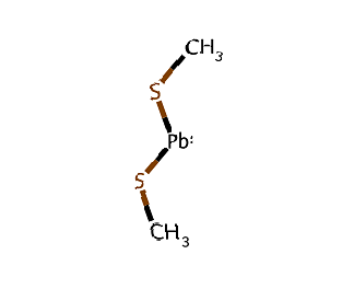 C[S][Pb][S]C